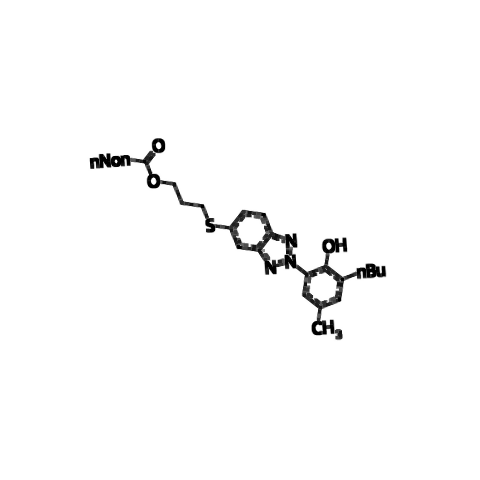 CCCCCCCCCC(=O)OCCCSc1ccc2nn(-c3cc(C)cc(CCCC)c3O)nc2c1